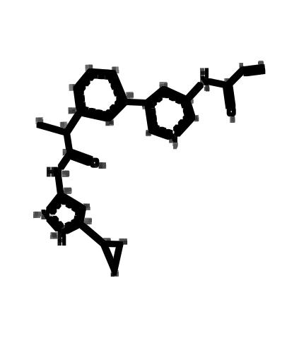 C=CC(=O)Nc1cncc(-c2cccc(C(C)C(=O)Nc3cc(C4CC4)[nH]n3)c2)c1